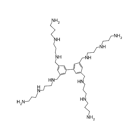 NCCCNCCCNCc1cc(CNCCCNCCCN)cc(-c2cc(CNCCCNCCCN)cc(CNCCCNCCCN)c2)c1